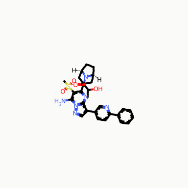 CC(O)C(=O)N1[C@@H]2CC[C@H]1CC(c1nc3c(-c4ccc(-c5ccccc5)nc4)cnn3c(N)c1S(C)(=O)=O)C2